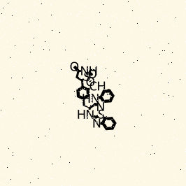 Cc1cc(C[C@H](Nc2nc3ccccc3s2)c2nc3ccccc3[nH]2)ccc1C1CC(=O)NS1(=O)=O